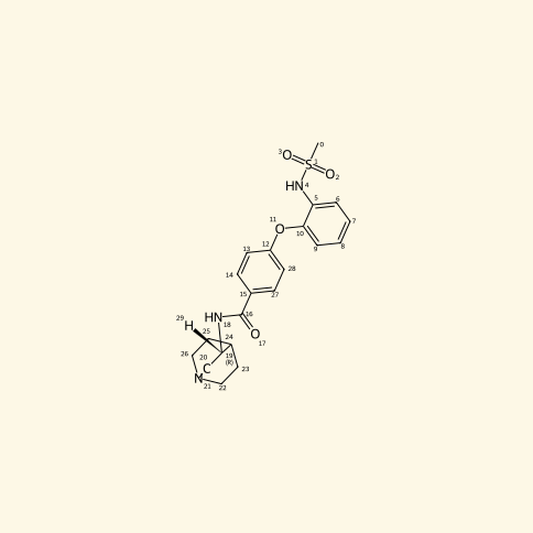 CS(=O)(=O)Nc1ccccc1Oc1ccc(C(=O)N[C@H]2CN3CCC2CC3)cc1